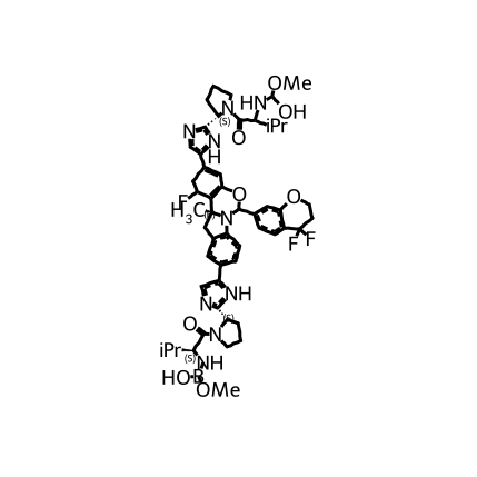 COB(O)N[C@H](C(=O)N1CCC[C@H]1c1ncc(-c2ccc3c(c2)C[C@]2(C)C4=C(C=C(c5cnc([C@@H]6CCCN6C(=O)C(NC(O)OC)C(C)C)[nH]5)CC4F)OC(c4ccc5c(c4)OCCC5(F)F)N32)[nH]1)C(C)C